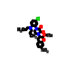 C=CCN(CC=C)c1ccc(Cl)cc1N1CCN(C(Cc2ccc([N+](=O)[O-])cc2)C(=O)OC(C)(C)C)C(=O)C1=O